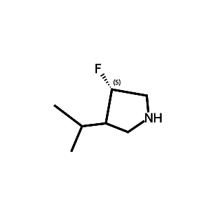 CC(C)C1CNC[C@H]1F